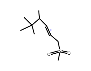 CC(/C=C/CS(C)(=O)=O)C(C)(C)C